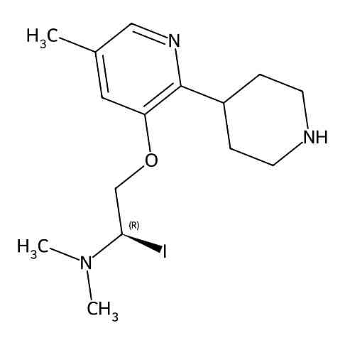 Cc1cnc(C2CCNCC2)c(OC[C@@H](I)N(C)C)c1